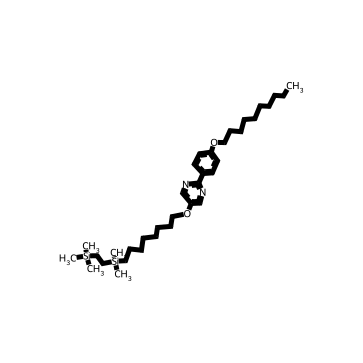 CCCCCCCCCCOc1ccc(-c2ncc(OCCCCCCCC[Si](C)(C)CC[Si](C)(C)C)cn2)cc1